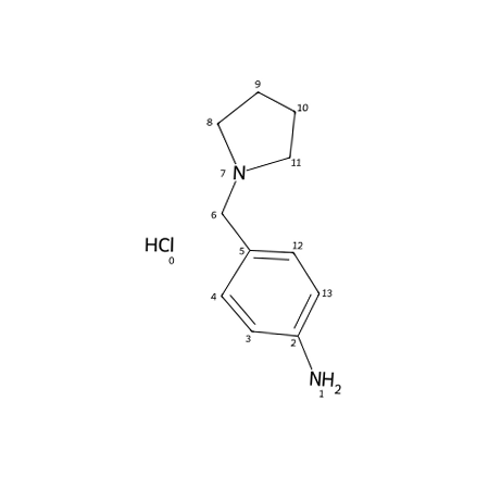 Cl.Nc1ccc(CN2CCCC2)cc1